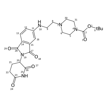 CC(C)(C)OC(=O)N1CCN(CCNc2ccc3c(c2)C(=O)N(C2CCC(=O)NC2=O)C3=O)CC1